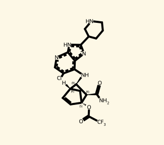 NC(=O)[C@@H]1[C@H](Nc2c(Cl)cnc3[nH]c(C4CCCNC4)nc23)[C@H]2C=C[C@@]1(OC(=O)C(F)(F)F)C2